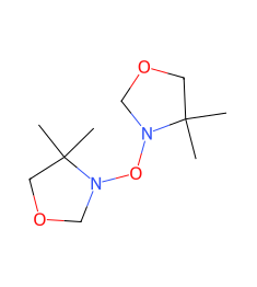 CC1(C)COCN1ON1COCC1(C)C